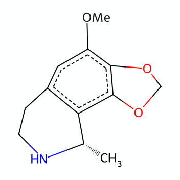 COc1cc2c(c3c1OCO3)[C@H](C)NCC2